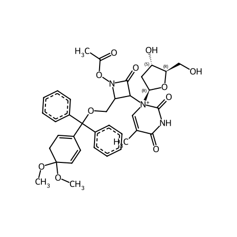 COC1(OC)C=CC(C(OCC2C([N+]3([C@H]4C[C@H](O)[C@@H](CO)O4)C=C(C)C(=O)NC3=O)C(=O)N2OC(C)=O)(c2ccccc2)c2ccccc2)=CC1